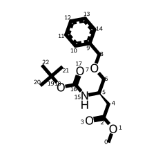 COC(=O)C[C@H](COCc1ccccc1)NC(=O)OC(C)(C)C